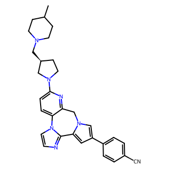 CC1CCN(C[C@H]2CCN(c3ccc4c(n3)Cn3cc(-c5ccc(C#N)cc5)cc3-c3nccn3-4)C2)CC1